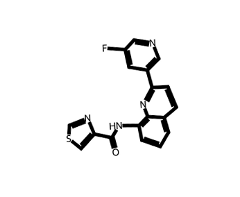 O=C(Nc1cccc2ccc(-c3cncc(F)c3)nc12)c1cscn1